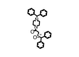 O=C(C[S+]([O-])C(c1ccccc1)c1ccccc1)N1CCN(C(c2ccccc2)c2ccccc2)CC1